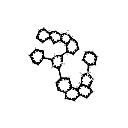 c1ccc(-c2nc(-c3ccc4ccc5ccc6nn(-c7ccccc7)nc6c5c4c3)nc(-c3cccc4oc5cc6ccccc6cc5c34)n2)cc1